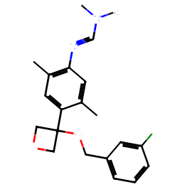 CCN(C)C=Nc1cc(C)c(C2(OCc3cccc(F)c3)COC2)cc1C